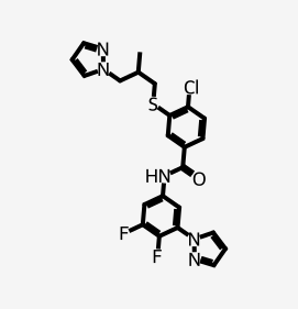 CC(CSc1cc(C(=O)Nc2cc(F)c(F)c(-n3cccn3)c2)ccc1Cl)Cn1cccn1